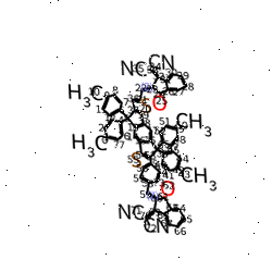 Cc1ccc(C2(c3ccc(C)cc3)c3cc4c(cc3-c3sc(/C=C5\C(=O)c6ccccc6C5=C(C#N)C#N)cc32)C(c2ccc(C)cc2)(c2ccc(C)cc2)c2c-4sc3cc(/C=C4\C(=O)c5ccccc5C4=C(C#N)C#N)ccc23)cc1